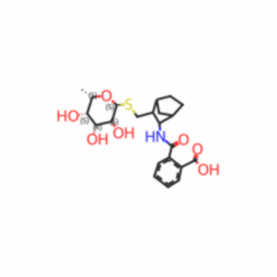 C[C@@H]1O[C@@H](SCC2C3CCC(C3)C2NC(=O)c2ccccc2C(=O)O)[C@@H](O)[C@H](O)[C@@H]1O